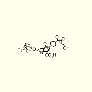 CN(CCO)C(=O)[C@H]1CC[C@@H](n2cc(C(=O)O)c3nn(COCC[Si](C)(C)C)cc3c2=O)CC1